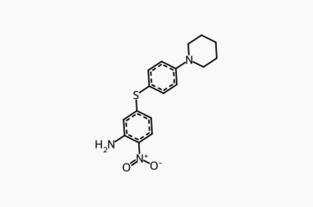 Nc1cc(Sc2ccc(N3CCCCC3)cc2)ccc1[N+](=O)[O-]